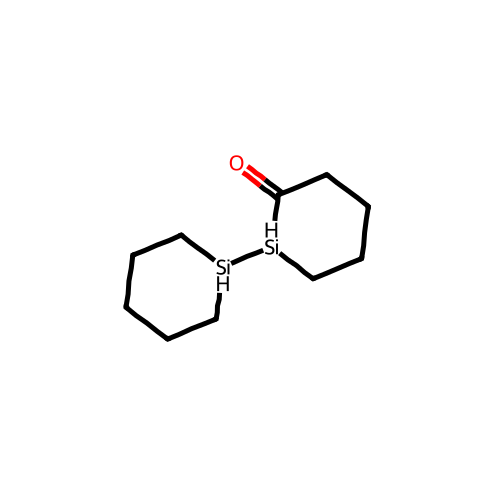 O=C1CCCC[SiH]1[SiH]1CCCCC1